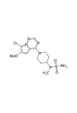 COc1cc2c(N3CCC(N(C)S(N)(=O)=O)CC3)ncnn2c1Cl